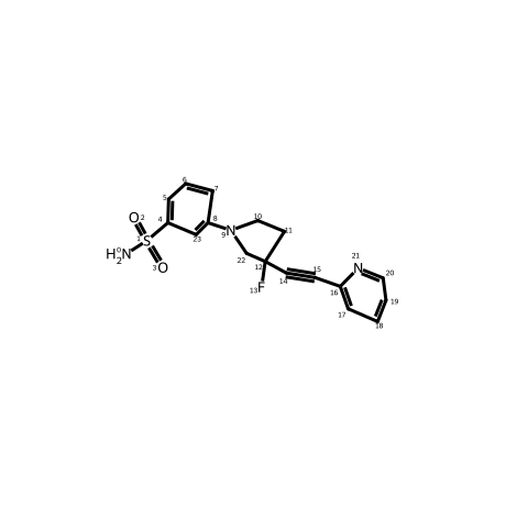 NS(=O)(=O)c1cccc(N2CCC(F)(C#Cc3ccccn3)C2)c1